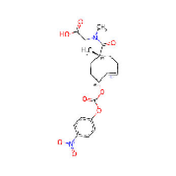 CN(CC(=O)O)C(=O)[C@]1(C)CC/C=C/[C@H](OC(=O)Oc2ccc([N+](=O)[O-])cc2)CC1